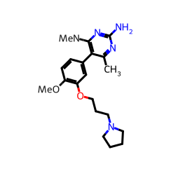 CNc1nc(N)nc(C)c1-c1ccc(OC)c(OCCCN2CCCC2)c1